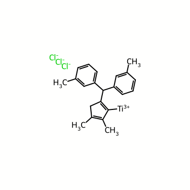 CC1=C(C)[C]([Ti+3])=C(C(c2cccc(C)c2)c2cccc(C)c2)C1.[Cl-].[Cl-].[Cl-]